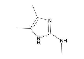 CNc1nc(C)c(C)[nH]1